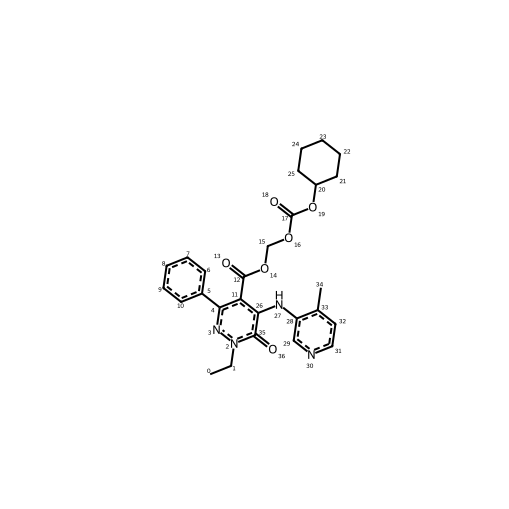 CCn1nc(-c2ccccc2)c(C(=O)OCOC(=O)OC2CCCCC2)c(Nc2cnccc2C)c1=O